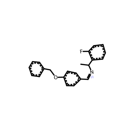 CC(/N=C\c1ccc(OCc2ccccc2)cc1)c1ccccc1F